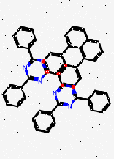 c1ccc(-c2nc(-c3ccccc3)nc(-c3cccc(-c4cccc5cccc(-c6cccc(-c7nc(-c8ccccc8)nc(-c8ccccc8)n7)c6)c45)c3)n2)cc1